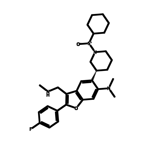 CNCc1c(-c2ccc(F)cc2)oc2cc(N(C)C)c([C@H]3CCCN([S+]([O-])C4CCCCC4)C3)cc12